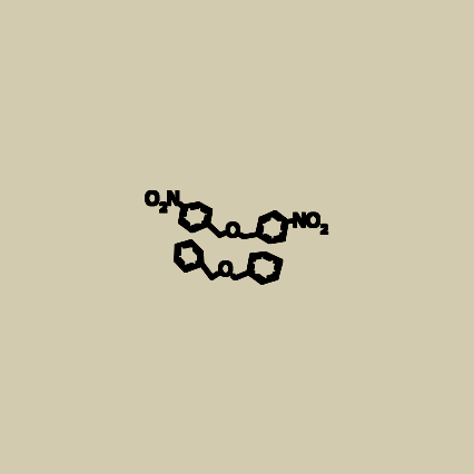 O=[N+]([O-])c1ccc(COCc2ccc([N+](=O)[O-])cc2)cc1.c1ccc(COCc2ccccc2)cc1